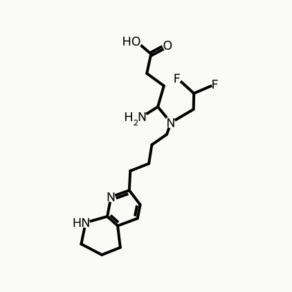 NC(CCC(=O)O)N(CCCCc1ccc2c(n1)NCCC2)CC(F)F